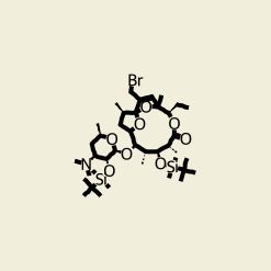 CC[C@H]1OC(=O)[C@H](C)[C@@H](O[Si](C)(C)C(C)(C)C)[C@H](C)[C@@H](O[C@@H]2O[C@H](C)C[C@H](N(C)C)[C@H]2O[Si](C)(C)C(C)(C)C)[C@@]2(C)C[C@@H](C)C3(OC1(C)C=C3CBr)O2